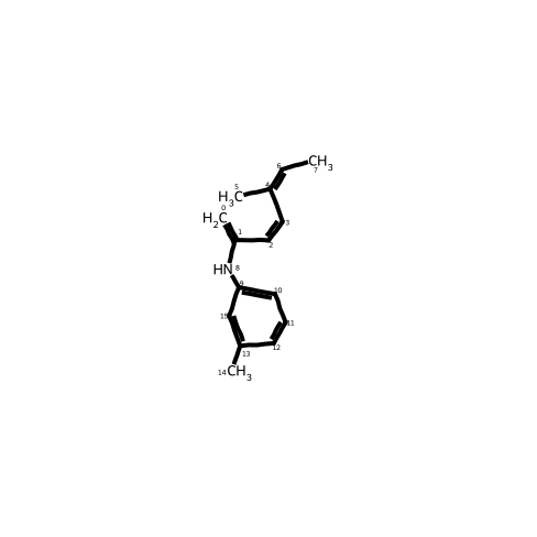 C=C(/C=C\C(C)=C/C)Nc1cccc(C)c1